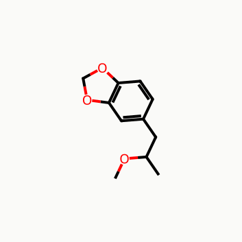 COC(C)Cc1ccc2c(c1)OCO2